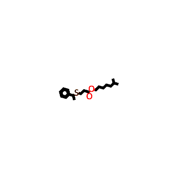 CC(C)CCCCCOC(=O)CCSC(C)c1ccccc1